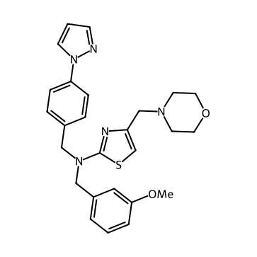 COc1cccc(CN(Cc2ccc(-n3cccn3)cc2)c2nc(CN3CCOCC3)cs2)c1